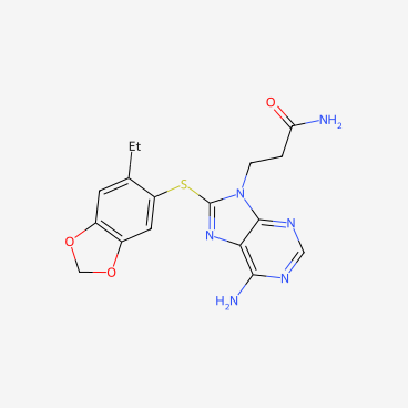 CCc1cc2c(cc1Sc1nc3c(N)ncnc3n1CCC(N)=O)OCO2